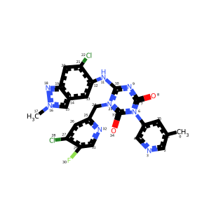 Cc1cncc(-n2c(=O)nc(Nc3cc4cn(C)nc4cc3Cl)n(Cc3cc(Cl)c(F)cn3)c2=O)c1